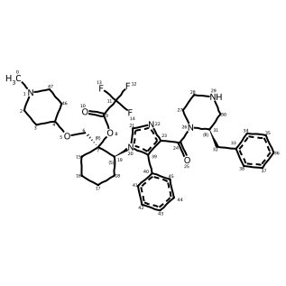 CN1CCC(OC[C@@]2(OC(=O)C(F)(F)F)CCCC[C@@H]2n2cnc(C(=O)N3CCNC[C@H]3Cc3ccccc3)c2-c2ccccc2)CC1